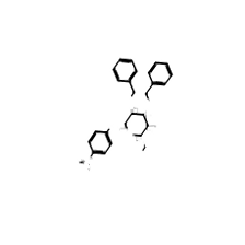 O=[N+]([O-])c1ccc(O[C@H]2O[C@H](CO)[C@H](O)[C@H](OCc3ccccc3)[C@H]2OCc2ccccc2)cc1